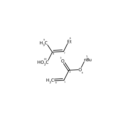 C=CC(=O)OCCCC.CCC=C(C)C(=O)O